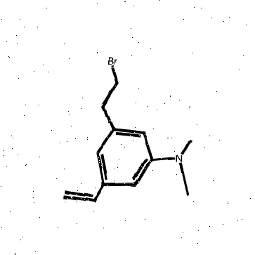 C=Cc1cc(CCBr)cc(N(C)C)c1